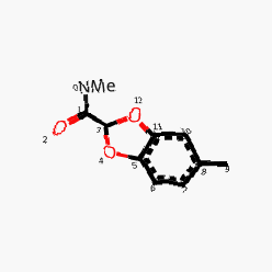 CNC(=O)C1Oc2ccc(C)cc2O1